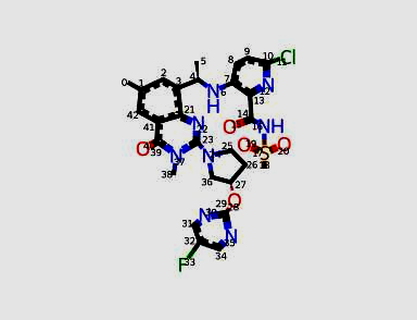 Cc1cc([C@@H](C)Nc2ccc(Cl)nc2C(=O)NS(C)(=O)=O)c2nc(N3CC[C@H](Oc4ncc(F)cn4)C3)n(C)c(=O)c2c1